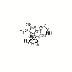 Cc1ccc(C2OCCNCC2CNS(C)(=O)=O)cc1Cl.Cl